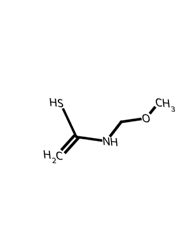 C=C(S)NCOC